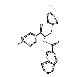 O=C(NC(Cc1ccc(C(F)(F)F)cc1)C(=O)c1ccc(F)cc1)c1ccc2ccccc2c1